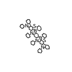 c1ccc(N2c3cc4c(cc3B3c5ccccc5Sc5c3c2cc2c5c3ccccc3n2-c2ccccc2)B2c3ccccc3Sc3c2c(cc2c3c3ccccc3n2-c2ccccc2)N4c2ccccc2)cc1